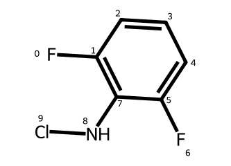 Fc1cccc(F)c1NCl